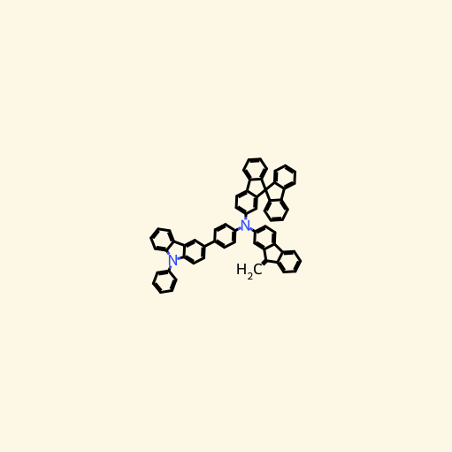 C=C1c2ccccc2-c2ccc(N(c3ccc(-c4ccc5c(c4)c4ccccc4n5-c4ccccc4)cc3)c3ccc4c(c3)C3(c5ccccc5-c5ccccc53)c3ccccc3-4)cc21